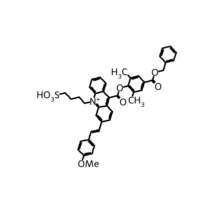 COc1ccc(C=Cc2ccc3c(C(=O)Oc4c(C)cc(C(=O)OCc5ccccc5)cc4C)c4ccccc4[n+](CCCCS(=O)(=O)O)c3c2)cc1